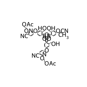 CC(=O)OCCOc1nc(Oc2ccc(B3OB(c4ccc(Oc5ccc(C#N)c(OCCOC(C)=O)n5)cc4CO)OB(c4ccc(OC(C)C#N)cc4CO)O3)c(CO)c2)ccc1C#N